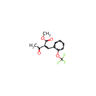 COC(=O)C(=Cc1ccccc1OC(F)(F)F)C(C)=O